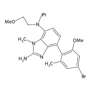 COCCN(c1ccc(-c2c(C)cc(Br)cc2OC)c2nc(N)n(C)c12)C(C)C